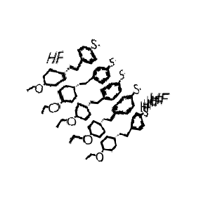 CCO[C@H]1CC[C@H](CCc2ccc([S])cc2)CC1.CCO[C@H]1CC[C@H](CCc2ccc([S])cc2)CC1.CCO[C@H]1CC[C@H](CCc2ccc([S])cc2)CC1.CCO[C@H]1CC[C@H](CCc2ccc([S])cc2)CC1.CCO[C@H]1CC[C@H](CCc2ccc([S])cc2)CC1.F.F.F.F.F